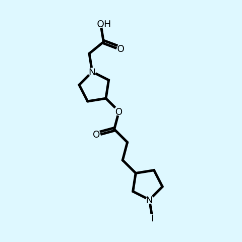 O=C(O)CN1CCC(OC(=O)CCC2CCN(I)C2)C1